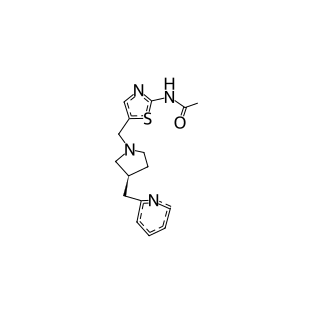 CC(=O)Nc1ncc(CN2CC[C@@H](Cc3ccccn3)C2)s1